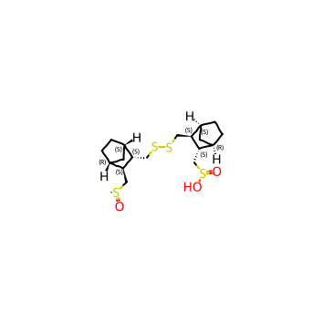 O=[S]C[C@H]1[C@@H]2CC[C@@H](C2)[C@@H]1CSSC[C@H]1[C@H]2CC[C@H](C2)[C@@H]1CS(=O)O